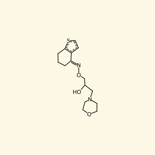 OC(CO/N=C1\CCCc2sccc21)CN1CCOCC1